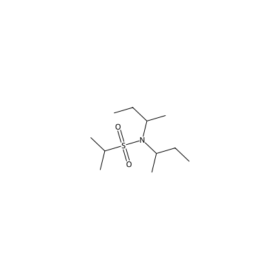 CCC(C)N(C(C)CC)S(=O)(=O)C(C)C